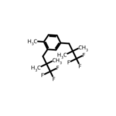 Cc1ccc(CC(C)(C)C(F)(F)F)cc1CC(C)(C)C(F)(F)F